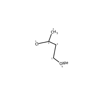 COCC[C](C)Cl